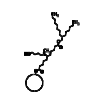 CCCCCCCCC(CCCCCC)COC(=O)CCCCC(CCCCC(=O)OC1CCCCCCCCCCCCCC1)N(C)CCCCO